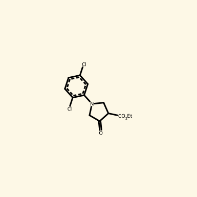 CCOC(=O)C1CN(c2cc(Cl)ccc2Cl)CC1=O